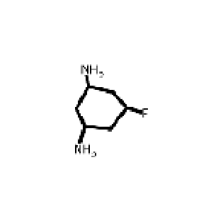 NC1CC(N)CC(F)C1